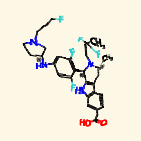 C[C@@H]1Cc2c([nH]c3cc(C(=O)O)ccc23)[C@@H](c2c(F)cc(N[C@H]3CCN(CCCF)C3)cc2F)N1CC(C)(F)F